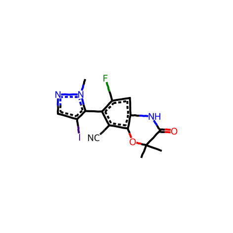 Cn1ncc(I)c1-c1c(F)cc2c(c1C#N)OC(C)(C)C(=O)N2